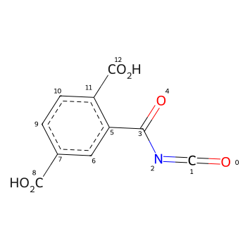 O=C=NC(=O)c1cc(C(=O)O)ccc1C(=O)O